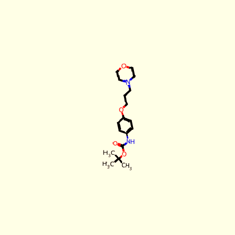 CC(C)(C)OC(=O)Nc1ccc(OCCCN2CCOCC2)cc1